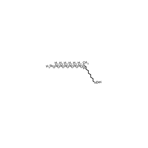 CCCCCCCCCCCCCCCCCC[SiH](C)O[SiH2]O[SiH2]O[SiH2]O[SiH2]O[SiH2]O[SiH2]O[SiH3]